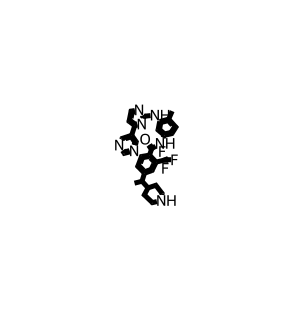 Cc1ccc(NC(=O)c2ccc(C(C)C3CCNCC3)cc2C(F)(F)F)cc1Nc1nccc(-c2cncnc2)n1